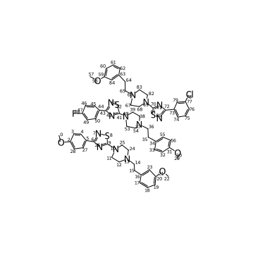 COc1ccc(-c2nsc(N3CCN(CCc4cccc(OC)c4)CC3)n2)cc1.COc1ccc(CCN2CCN(c3nc(-c4ccc(F)cc4)ns3)CC2)cc1.COc1cccc(CCN2CCN(c3nc(-c4cccc(Cl)c4)ns3)CC2)c1